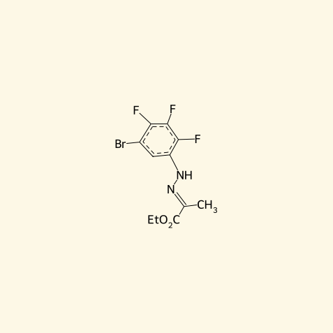 CCOC(=O)C(C)=NNc1cc(Br)c(F)c(F)c1F